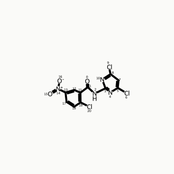 O=C(Nc1nc(Cl)cc(Cl)n1)c1cc([N+](=O)[O-])ccc1Cl